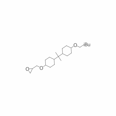 CCC(C)COC1CCC(C(C)(C)C2CCC(OCC3CO3)CC2)CC1